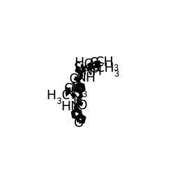 CN(C)CCN(Cc1ccc(C(=O)NC2=CSCC2NC(=O)OC(C)(C)C)nc1)C(=O)Nc1ccc2c(c1)CCO2